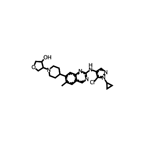 Cc1cc2cnc(Nc3cnn(C4CC4)c3Cl)nc2cc1C1CCN(C2COCC2O)CC1